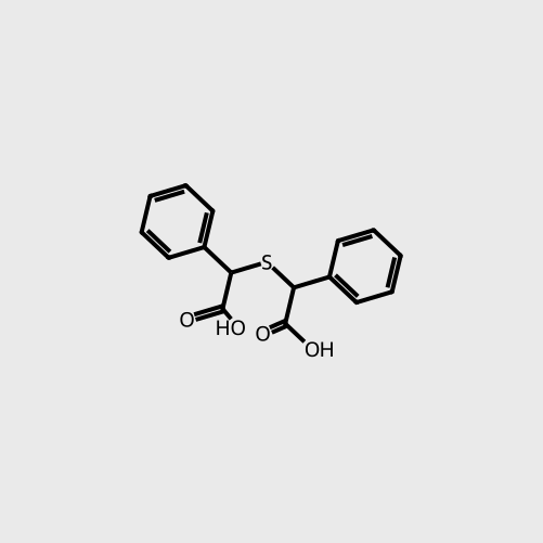 O=C(O)C(SC(C(=O)O)c1ccccc1)c1ccccc1